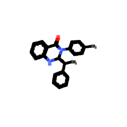 Cc1ccc(N2C(=O)c3ccccc3NC2C(C)c2ccccc2)cc1